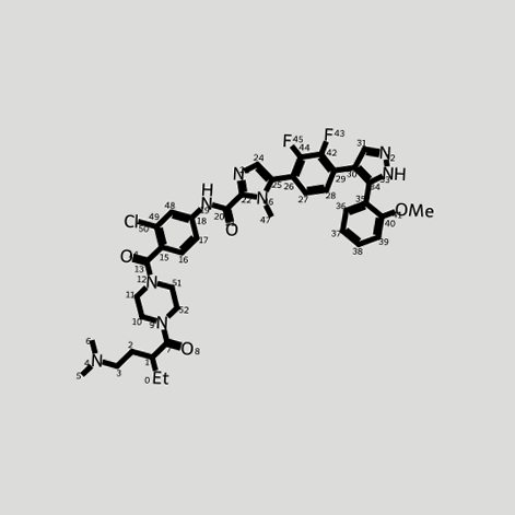 CCC(CCN(C)C)C(=O)N1CCN(C(=O)c2ccc(NC(=O)c3ncc(-c4ccc(-c5cn[nH]c5-c5ccccc5OC)c(F)c4F)n3C)cc2Cl)CC1